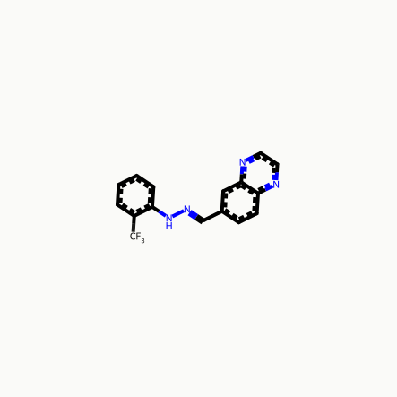 FC(F)(F)c1ccccc1NN=Cc1ccc2nccnc2c1